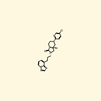 O=C1[C@@H](CCCc2cccn3ncnc23)C[C@H]2CN(c3ccc(Cl)cn3)CCN12